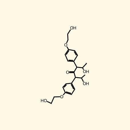 CC(O)C(C(=O)C(c1ccc(OCCO)cc1)C(C)O)c1ccc(OCCO)cc1